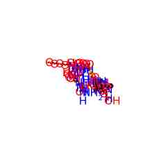 CC[C@](C)(O)CCC[C@@H](C)[C@](C(=O)OC)(c1cc2c(cc1OC)N(C)[C@H]1[C@@](O)(C(=O)NNC(=O)OCCSSCC(NC(=O)[C@H](CC(=O)O)NC(=O)[C@H](CC(=O)O)NC(=O)[C@H](CNC(=O)CCOCCOCCOCCOC)NC(=O)CC[C@H](NC(=O)c3ccc(NCc4cnc5nc(N)[nH]c(=O)c5n4)cc3)C(=O)O)C(=O)O)[C@H](O)[C@]3(CC)C=CCN4CC[C@]21[C@@H]43)c1[nH]c2ccccc2c1CCNC